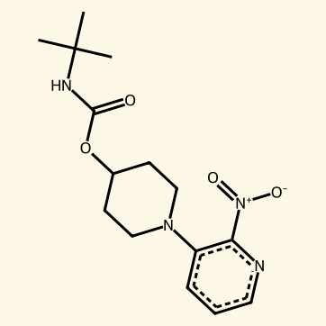 CC(C)(C)NC(=O)OC1CCN(c2cccnc2[N+](=O)[O-])CC1